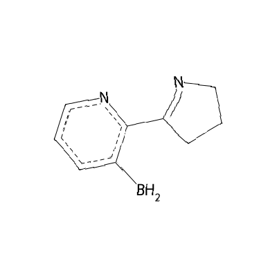 Bc1cccnc1C1=NCCC1